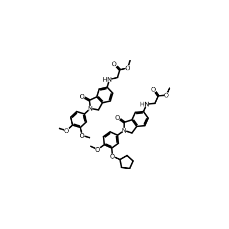 COC(=O)CNc1ccc2c(c1)C(=O)N(c1ccc(OC)c(OC)c1)C2.COC(=O)CNc1ccc2c(c1)C(=O)N(c1ccc(OC)c(OC3CCCC3)c1)C2